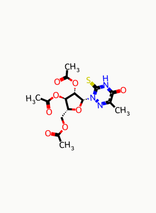 CC(=O)OC[C@H]1O[C@@H](n2nc(C)c(=O)[nH]c2=S)[C@@H](OC(C)=O)[C@@H]1OC(C)=O